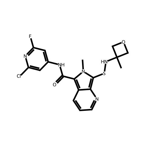 Cn1c(C(=O)Nc2cc(F)nc(Cl)c2)c2cccnc2c1SNC1(C)COC1